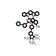 CC1C(C)(C)c2ccc(-c3ccc(-c4ccc(-n5c6ccccc6c6ccc7c8ccccc8n(-c8nc(-c9cccc(C#N)c9)nc(-c9cccc(-c%10ccccc%10)c9)n8)c7c65)cc4)cc3)cc2C1(C)C